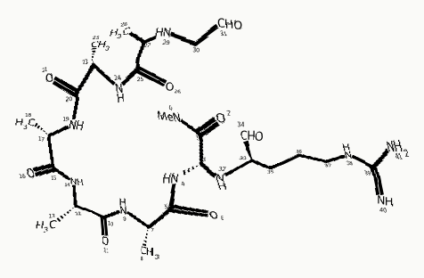 CNC(=O)[C@@H](NC(=O)[C@H](C)NC(=O)[C@H](C)NC(=O)[C@H](C)NC(=O)[C@H](C)NC(=O)C(C)NCC=O)N[C@@H](C=O)CCCNC(=N)N